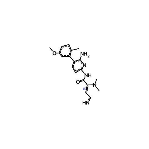 COc1ccc(C)c(-c2ccc(NC(=O)/C(=C/C=N)N(C)C)nc2N)c1